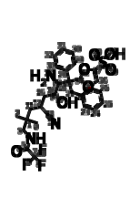 CC(C)(CNC(=O)C(F)(F)F)CC(C#N)C[C@@H](O)[C@@H](N)C(Cc1ccccc1)(c1ccccc1)C1OC=C(S(=O)(=O)O)O1